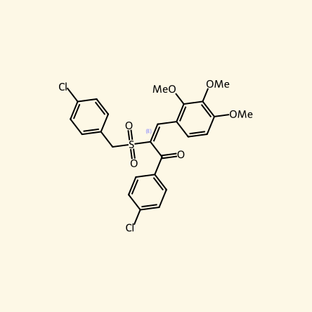 COc1ccc(/C=C(\C(=O)c2ccc(Cl)cc2)S(=O)(=O)Cc2ccc(Cl)cc2)c(OC)c1OC